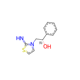 N=c1sccn1C[C@@H](O)c1ccccc1